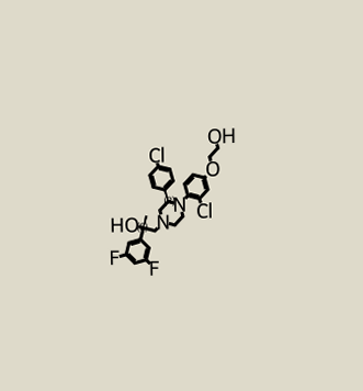 C[C@@](O)(CN1CCN(c2ccc(OCCO)cc2Cl)[C@H](c2ccc(Cl)cc2)C1)c1cc(F)cc(F)c1